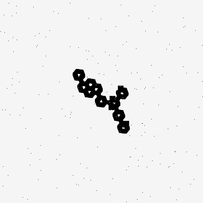 c1ccc(-c2ccc3ccc4c(-c5cccc(-c6nc(-c7ccc(-c8ccccn8)cc7)cc(-c7cccnc7)n6)c5)ccc5ccc2c3c54)cc1